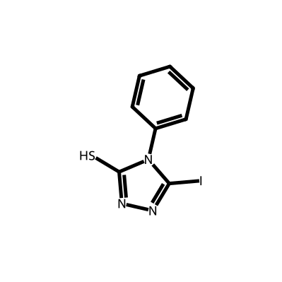 Sc1nnc(I)n1-c1ccccc1